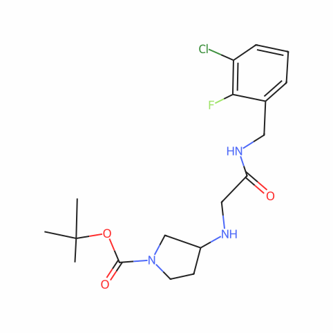 CC(C)(C)OC(=O)N1CCC(NCC(=O)NCc2cccc(Cl)c2F)C1